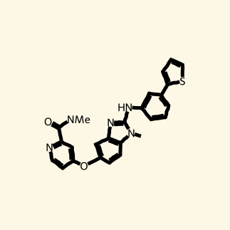 CNC(=O)c1cc(Oc2ccc3c(c2)nc(Nc2cccc(-c4cccs4)c2)n3C)ccn1